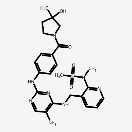 CN(c1ncccc1CNc1nc(Nc2ccc(C(=O)N3CCC(C)(O)C3)cc2)ncc1C(F)(F)F)S(C)(=O)=O